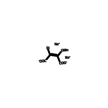 CC/C(C(=O)[O-])=C(\OC)C(=O)[O-].[Na+].[Na+]